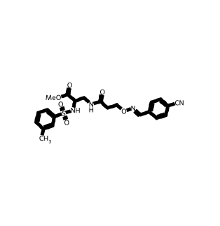 COC(=O)C(CNC(=O)CCO/N=C/c1ccc(C#N)cc1)NS(=O)(=O)c1cccc(C)c1